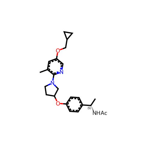 CC(=O)N[C@@H](C)c1ccc(OC2CCN(c3ncc(OCC4CC4)cc3C)C2)cc1